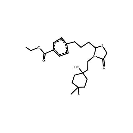 CCOC(=O)c1ccc(CCCC2SCC(=O)N2CCC2(O)CCC(C)(C)CC2)cc1